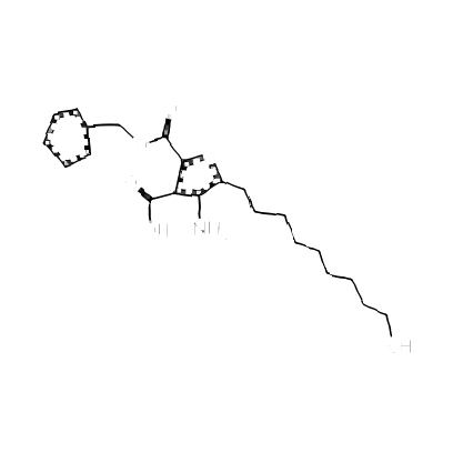 CCCCCCCCCCc1sc(C(=O)OCc2ccccc2)c(C(=O)O)c1N